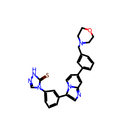 S=c1[nH]ncn1-c1cccc(-c2cnc3cc(-c4cccc(CN5CCOCC5)c4)ccn23)c1